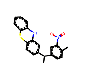 Cc1ccc(C(C)c2ccc3c(c2)Nc2ccccc2S3)cc1[N+](=O)[O-]